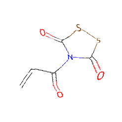 C=CC(=O)n1c(=O)ssc1=O